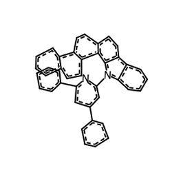 c1ccc(-c2cc(-c3ccccc3)nc(-n3c4ccccc4c4ccc5ccc6c7ccccc7ccc6c5c43)c2)cc1